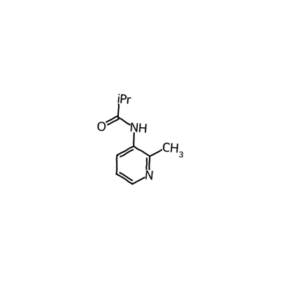 Cc1ncccc1NC(=O)C(C)C